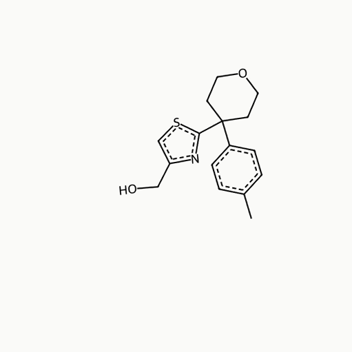 Cc1ccc(C2(c3nc(CO)cs3)CCOCC2)cc1